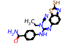 CCN(C#N)C(=Nc1ccc2nc(S)sc2c1)Nc1ccc(C(N)=O)cc1